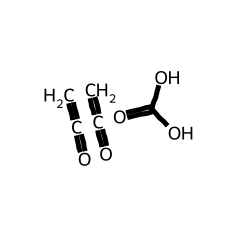 C=C=O.C=C=O.O=C(O)O